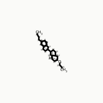 CCCCc1ccc2c(c1)CCC(C1CCC3C[C@H](OCCC)CC[C@@H]3C1)C2